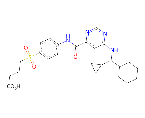 O=C(O)CCCS(=O)(=O)c1ccc(NC(=O)c2cc(NC(C3CCCCC3)C3CC3)ncn2)cc1